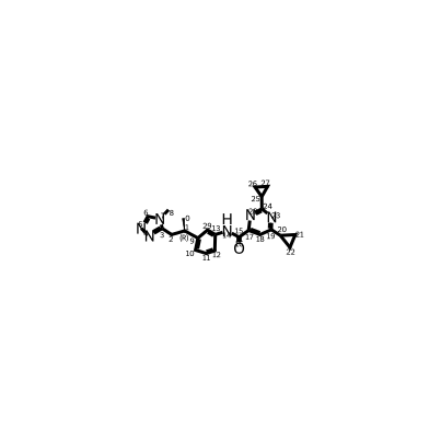 C[C@H](Cc1nncn1C)c1cccc(NC(=O)c2cc(C3CC3)nc(C3CC3)n2)c1